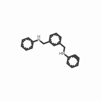 c1cccc(NCc2cccc(CNc3ccccc3)c2)c#1